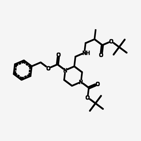 CC(CNCC1CN(C(=O)OC(C)(C)C)CCN1C(=O)OCc1ccccc1)C(=O)OC(C)(C)C